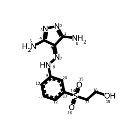 NC1=NN=C(N)C1=NNc1cccc(S(=O)(=O)CCO)c1